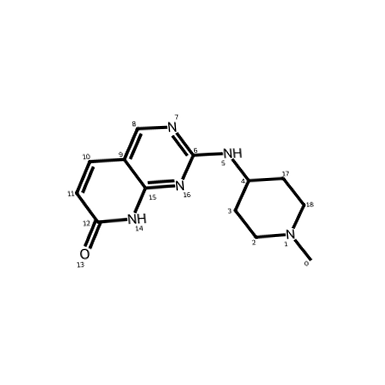 CN1CCC(Nc2ncc3ccc(=O)[nH]c3n2)CC1